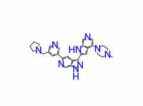 CN1CCN(c2cncc3[nH]c(-c4n[nH]c5cnc(-c6cncc(CN7CCCC7)c6)cc45)cc23)CC1